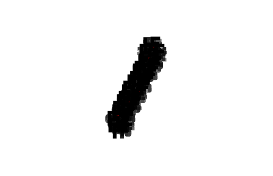 Fc1c(F)c(-c2c(F)c(F)c(-c3c(F)c(F)c(-c4c(F)c(F)c5c(F)c(F)c(F)c(F)c5c4F)c(F)c3F)c(F)c2F)c(F)c(F)c1-c1c(F)c(F)c(-c2c(F)c(F)c(-c3c(F)c(F)c4c(F)c(F)c(F)c(F)c4c3F)c(F)c2F)c(F)c1F